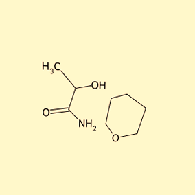 C1CCOCC1.CC(O)C(N)=O